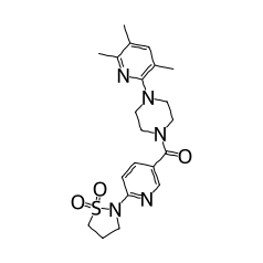 Cc1cc(C)c(N2CCN(C(=O)c3ccc(N4CCCS4(=O)=O)nc3)CC2)nc1C